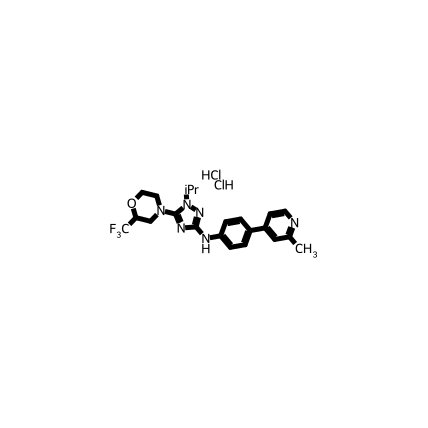 Cc1cc(-c2ccc(Nc3nc(N4CCOC(C(F)(F)F)C4)n(C(C)C)n3)cc2)ccn1.Cl.Cl